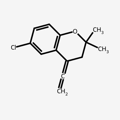 C=C=C1CC(C)(C)Oc2ccc(Cl)cc21